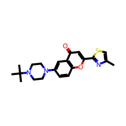 Cc1csc(-c2cc(=O)c3cc(N4CCN(C(C)(C)C)CC4)ccc3o2)n1